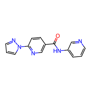 O=C(Nc1cccnc1)c1ccc(-n2cccn2)nc1